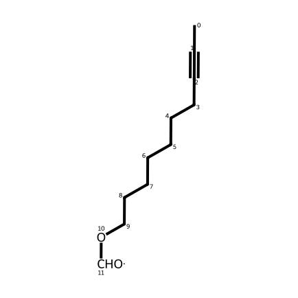 CC#CCCCCCCCO[C]=O